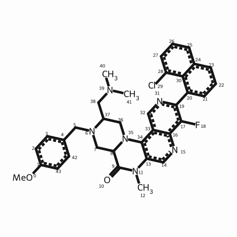 COc1ccc(CN2CC3C(=O)N(C)c4cnc5c(F)c(-c6cccc7cccc(Cl)c67)ncc5c4N3CC2CN(C)C)cc1